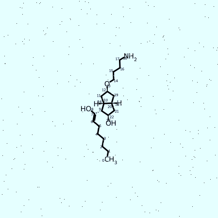 CCCCCC/C=C(/O)[C@@H]1[C@@H]2C[C@@H](OCCCCN)C[C@@H]2C[C@H]1O